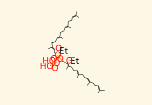 CCO/C(COP(=O)(OC/C(OCC)=C(\C)CC/C=C(\C)CC/C=C(\C)CCC=C(C)C)OP(=O)(O)O)=C(/C)CC/C=C(\C)CC/C=C(\C)CCC=C(C)C